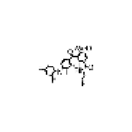 COc1ccc(C(=O)NCCF)cc1C(=O)c1ccc(Nc2ccc(F)cc2F)cc1Cl